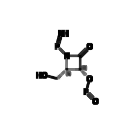 N=PN1C(=O)[C@H](OP=O)[C@@H]1CO